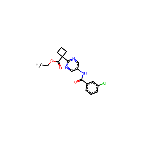 CCOC(=O)C1(c2ncc(NC(=O)c3cccc(Cl)c3)cn2)CCC1